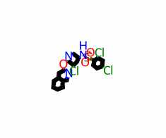 O=S(=O)(Nc1cnc(Oc2cc3ccccc3cn2)c(Cl)c1)c1ccc(Cl)cc1Cl